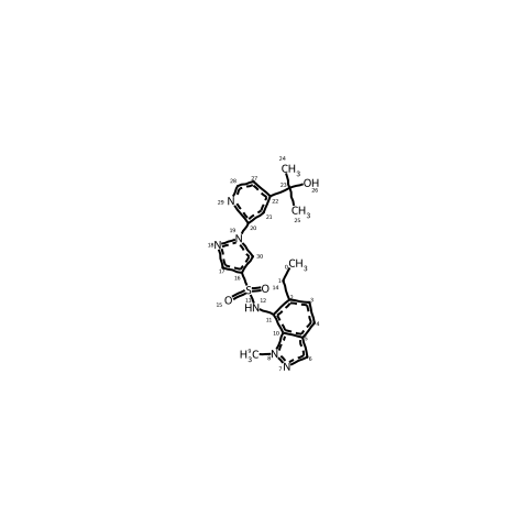 CCc1ccc2cnn(C)c2c1NS(=O)(=O)c1cnn(-c2cc(C(C)(C)O)ccn2)c1